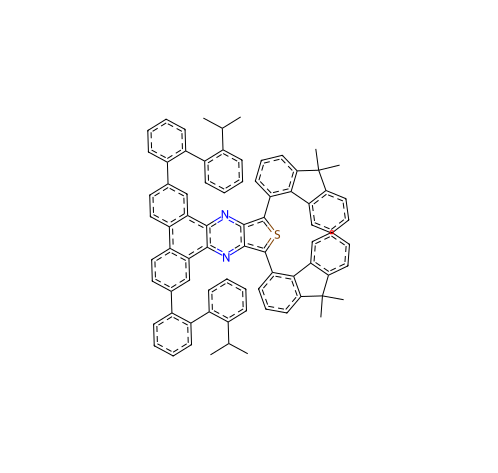 CC(C)c1ccccc1-c1ccccc1-c1ccc2c3ccc(-c4ccccc4-c4ccccc4C(C)C)cc3c3nc4c(-c5cccc6c5-c5ccccc5C6(C)C)sc(-c5cccc6c5-c5ccccc5C6(C)C)c4nc3c2c1